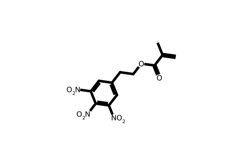 C=C(C)C(=O)OCCc1cc([N+](=O)[O-])c([N+](=O)[O-])c([N+](=O)[O-])c1